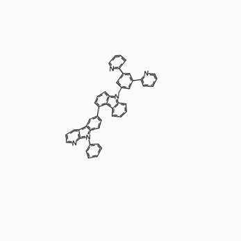 c1ccc(-n2c3ccc(-c4cccc5c4c4ccccc4n5-c4cc(-c5ccccn5)cc(-c5ccccn5)c4)cc3c3cccnc32)cc1